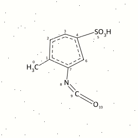 Cc1ccc(S(=O)(=O)O)cc1N=C=O